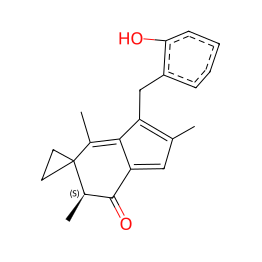 CC1=C(Cc2ccccc2O)C2=C(C)C3(CC3)[C@H](C)C(=O)C2=C1